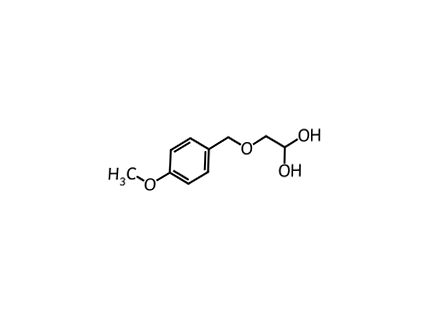 COc1ccc(COCC(O)O)cc1